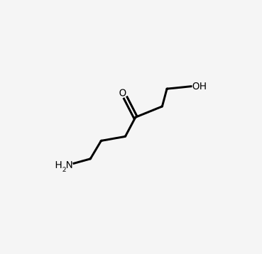 NCCCC(=O)CCO